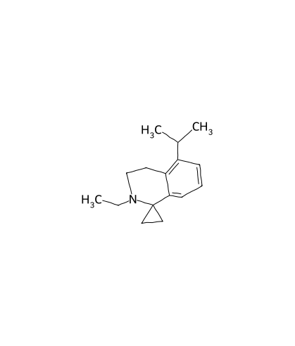 CCN1CCc2c(C(C)C)cccc2C12CC2